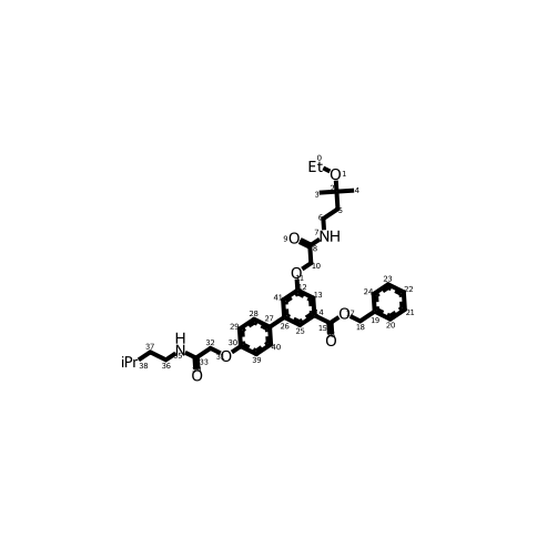 CCOC(C)(C)CCNC(=O)COc1cc(C(=O)OCc2ccccc2)cc(-c2ccc(OCC(=O)NCCC(C)C)cc2)c1